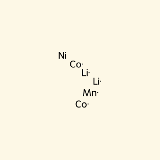 [Co].[Co].[Li].[Li].[Mn].[Ni]